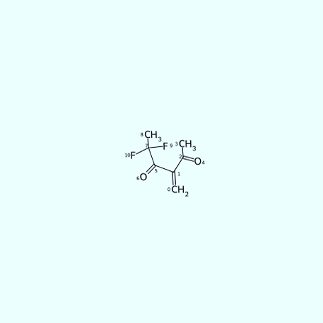 C=C(C(C)=O)C(=O)C(C)(F)F